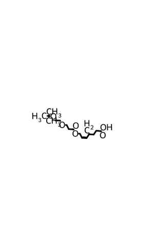 C=C(/C=C\COC(=O)CCOCCOC(C)(C)C)CCC(=O)O